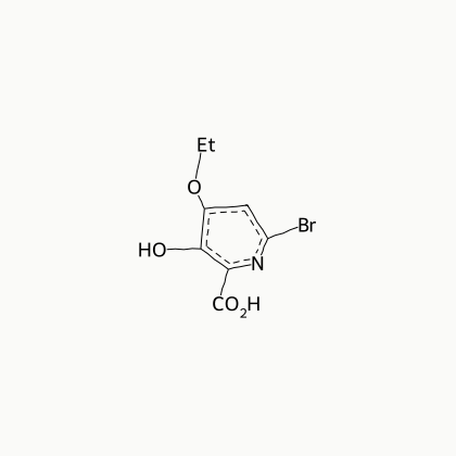 CCOc1cc(Br)nc(C(=O)O)c1O